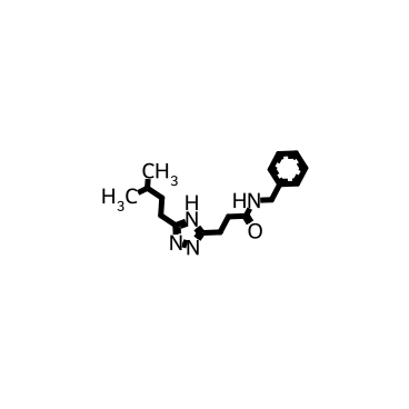 CC(C)CCc1nnc(CCC(=O)NCc2ccccc2)[nH]1